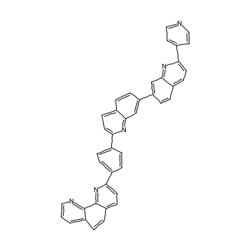 c1cnc2c(c1)ccc1ccc(-c3ccc(-c4ccc5ccc(-c6ccc7ccc(-c8ccncc8)nc7c6)cc5n4)cc3)nc12